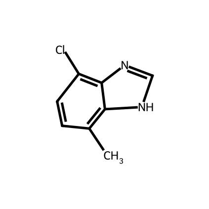 Cc1ccc(Cl)c2nc[nH]c12